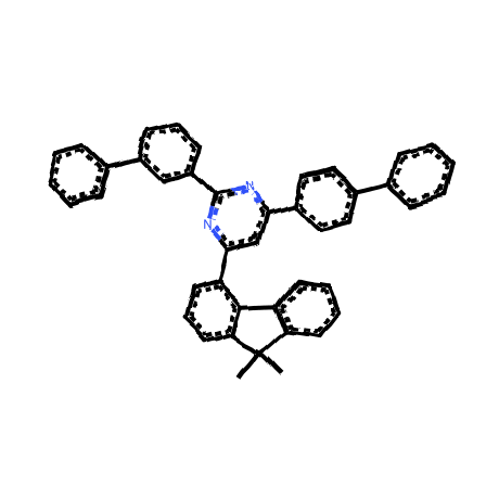 CC1(C)c2ccccc2-c2c(-c3cc(-c4ccc(-c5ccccc5)cc4)nc(-c4cccc(-c5ccccc5)c4)n3)cccc21